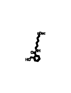 CCCCCCCCCCCCCCCCNC(=O)c1ccccc1CO